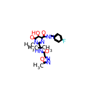 Cc1nnc(C(=O)NC(C)(C)C2=NC(C(=O)NCc3ccc(F)cc3)C(O)C(=O)N2C)o1